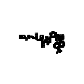 CN(C)c1cccc2c(S(=O)(=O)Nc3cccc(-c4csc(NC(=O)CNCCS(=O)(=O)O)n4)c3)cccc12